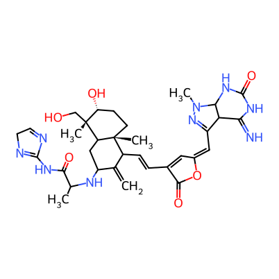 C=C1C(NC(C)C(=O)NC2=NCC=N2)CC2[C@](C)(CC[C@@H](O)[C@@]2(C)CO)C1/C=C/C1=CC(=C\C2=NN(C)C3NC(=O)NC(=N)C23)/OC1=O